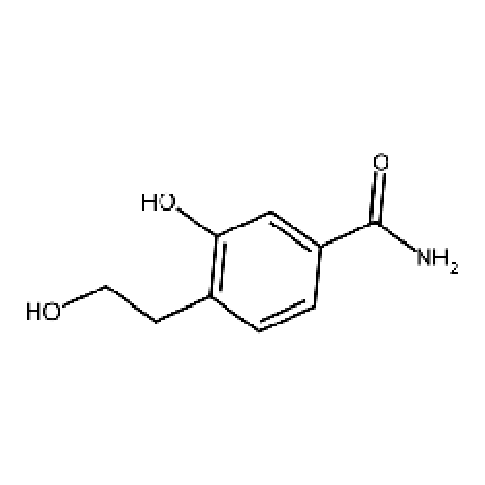 NC(=O)c1ccc(CCO)c(O)c1